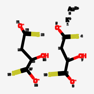 [Au+3].[K+].[O-]C(=S)CC(O)C([O-])=S.[O-]C(=S)CC(O)C([O-])=S